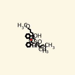 CNC[C@H](C)NC(=O)N1CCC[C@@H]([C@@](O)(CCCCOC)c2ccccc2Oc2ccccc2C)C1